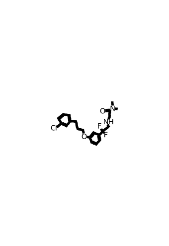 CN(C)C(=O)CNCC(F)(F)c1cccc(OCCCc2cccc(Cl)c2)c1